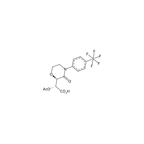 CC(=O)O[C@@H](C(=O)O)[C@H]1OCCN(c2ccc(S(F)(F)(F)(F)F)cc2)C1=O